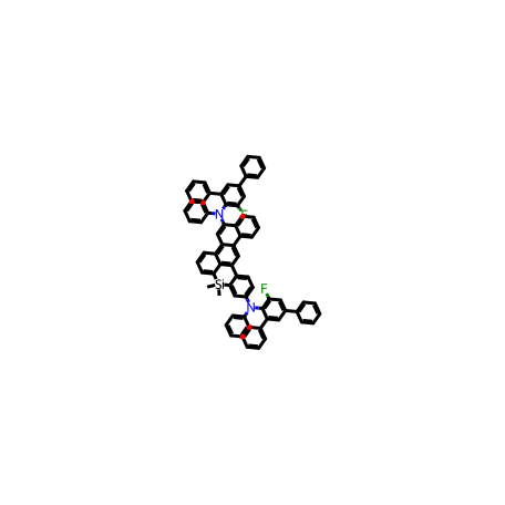 C[Si]1(C)c2cc(N(c3ccccc3)c3c(F)cc(-c4ccccc4)cc3-c3ccccc3)ccc2-c2cc3c4ccccc4c(N(c4ccccc4)c4c(F)cc(-c5ccccc5)cc4-c4ccccc4)cc3c3cccc1c23